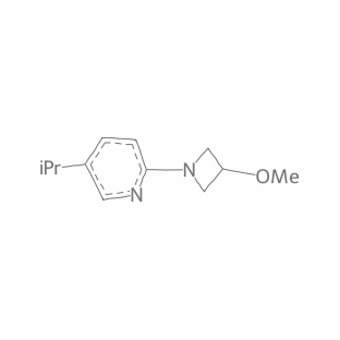 COC1CN(c2ccc(C(C)C)cn2)C1